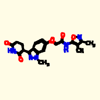 Cc1noc(NC(=O)COc2ccc3c(C4CCC(=O)NC4=O)nn(C)c3c2)c1C#N